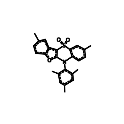 Cc1cc(C)c(N2c3ccc(C)cc3S(=O)(=O)c3c2oc2ccc(C)cc32)c(C)c1